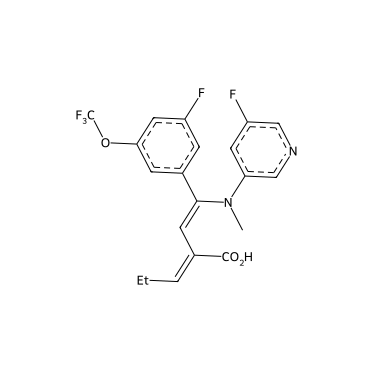 CC/C=C(\C=C(\c1cc(F)cc(OC(F)(F)F)c1)N(C)c1cncc(F)c1)C(=O)O